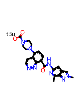 Cc1nc(NC(=O)c2ccc(N3CCN(C(=O)OC(C)(C)C)CC3)c3ccnnc23)cc2cn(C)nc12